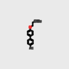 COCCOc1ccc(-c2ccc(C(C)=O)cc2)cc1